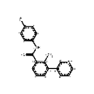 O=C(Nc1ccc(F)cc1)c1cccc(-c2cccnc2)c1C(F)(F)F